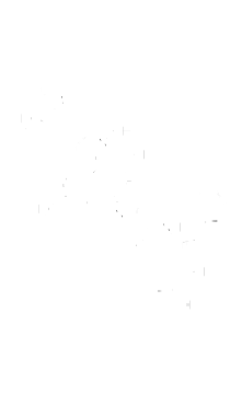 C=C[C@@H](CC)CC(=O)N(C)[C@H](CC(OC(C)=O)c1nc(C(=O)N[C@@H](Cc2ccccc2)C[C@H](C)C(=O)O)cs1)C(C)C